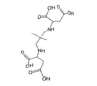 CC(C)(CNC(CC(=O)O)C(=O)O)CNC(CC(=O)O)C(=O)O